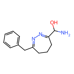 NC(O)C1=NN=C(Cc2ccccc2)CCC1